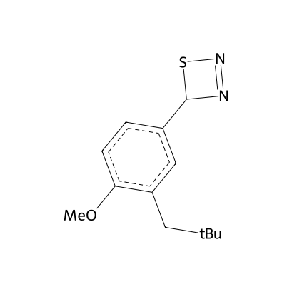 COc1ccc(C2N=NS2)cc1CC(C)(C)C